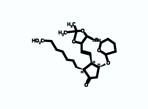 CCCCC1OC(C)(C)OC1C=C[C@H]1[C@H](OC2CCCCO2)CC(=O)[C@@H]1CCCCCCC(=O)O